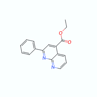 CCOC(=O)c1cc(-c2ccccc2)nc2ncccc12